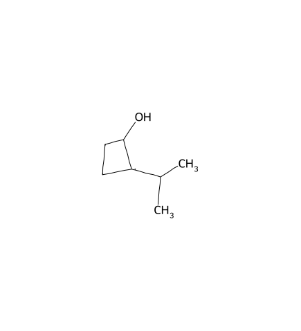 CC(C)[C]1CCC1O